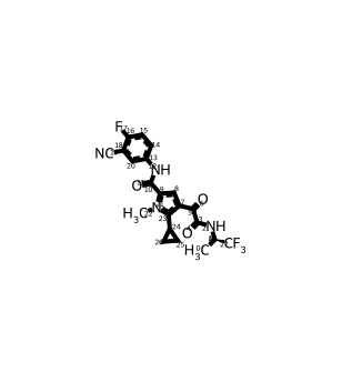 C[C@@H](NC(=O)C(=O)c1cc(C(=O)Nc2ccc(F)c(C#N)c2)n(C)c1C1CC1)C(F)(F)F